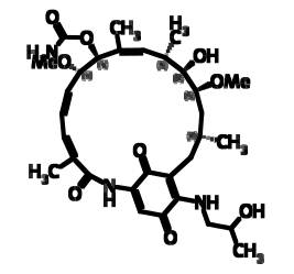 CO[C@H]1C=CC=C(C)C(=O)NC2=CC(=O)C(NCC(C)O)=C(C[C@@H](C)C[C@H](OC)[C@H](O)[C@@H](C)C=C(C)[C@@H]1OC(N)=O)C2=O